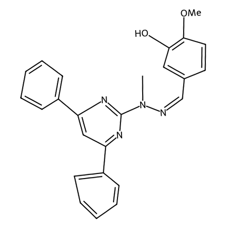 COc1ccc(/C=N\N(C)c2nc(-c3ccccc3)cc(-c3ccccc3)n2)cc1O